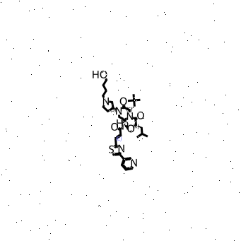 CC(C)C[C@H]1ON(C(=O)/C=C/c2nc(-c3cccnc3)cs2)[C@H]2CN([C@H]3CCN(CCCCO)C3)C(=O)[C@H](CC(C)(C)C)N2C1=O